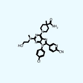 CN(CCO)c1nc(N2CCC(C)(C(N)=O)CC2)c2nc(-c3ccc(C#N)nc3)n(-c3ccc(Cl)cc3)c2n1